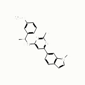 COc1cccc([C@H](C)Nc2cc(-c3ccc4ccn(C)c4c3)nc(C)n2)c1